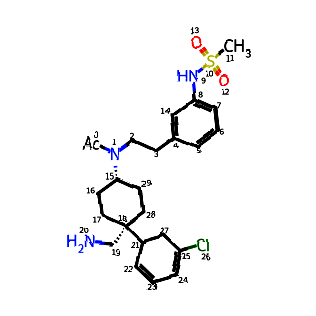 CC(=O)N(CCc1cccc(NS(C)(=O)=O)c1)[C@H]1CC[C@](CN)(C2C=CC=C(Cl)C2)CC1